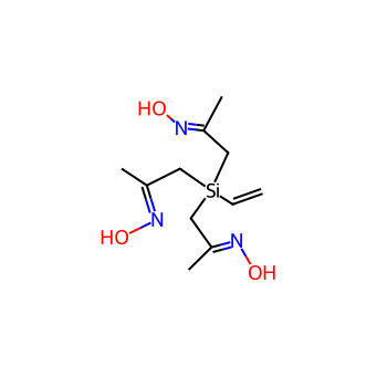 C=C[Si](CC(C)=NO)(CC(C)=NO)CC(C)=NO